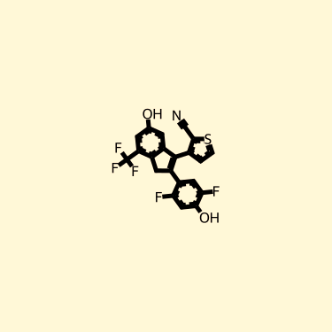 N#Cc1sccc1C1=C(c2cc(F)c(O)cc2F)Cc2c1cc(O)cc2C(F)(F)F